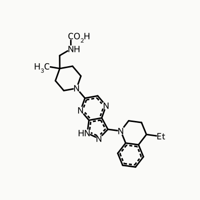 CCC1CCN(c2n[nH]c3nc(N4CCC(C)(CNC(=O)O)CC4)cnc23)c2ccccc21